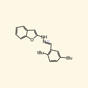 CC(C)(C)c1ccc(C(C)(C)C)c(/C=N/Nc2cc3ccccc3o2)c1